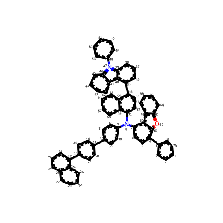 c1ccc(-c2ccc(N(c3ccc(-c4ccc(-c5cccc6ccccc56)cc4)cc3)c3ccc(-c4cccc5c4c4ccccc4n5-c4ccccc4)c4ccccc34)c3c2oc2ccccc23)cc1